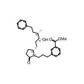 COC(=O)c1cccc(CCCN2C(=O)CC[C@@H]2CC[C@@H](O)[C@@H](C)CCc2ccccc2)c1